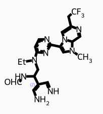 CCN(CC(NC=O)/C(C=N)=C/N)c1ccnc(C2=CN(C)C3C=NC(CC(F)(F)F)=CN23)n1